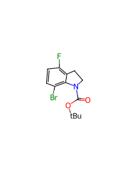 CC(C)(C)OC(=O)N1CCc2c(F)ccc(Br)c21